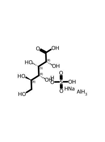 O=C(O)[C@H](O)[C@@H](O)[C@H](O)[C@H](O)CO.O=S(=O)(O)O.[AlH3].[NaH]